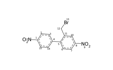 O=[N+]([O-])c1ccc(-c2ccc([N+](=O)[O-])cc2CBr)cc1